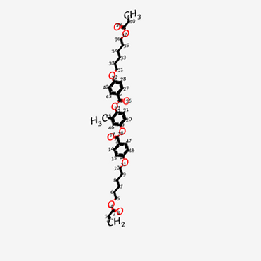 C=CC(=O)OCCCCCCOc1ccc(C(=O)Oc2ccc(OC(=O)c3ccc(OCCCCCCOC(=O)CC)cc3)c(C)c2)cc1